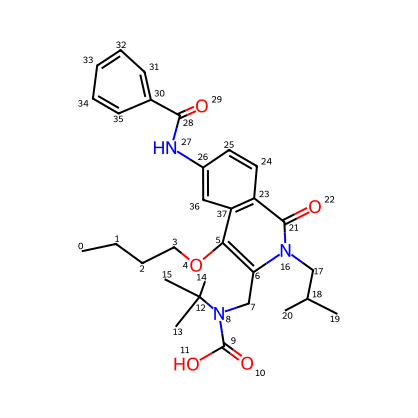 CCCCOc1c(CN(C(=O)O)C(C)(C)C)n(CC(C)C)c(=O)c2ccc(NC(=O)c3ccccc3)cc12